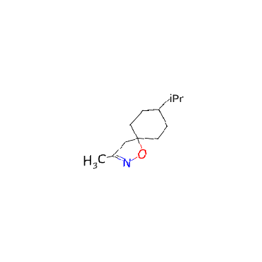 CC1=NOC2(CCC(C(C)C)CC2)C1